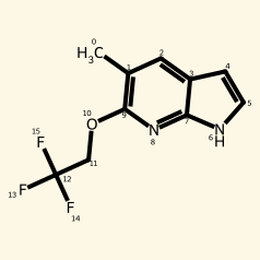 Cc1cc2cc[nH]c2nc1OCC(F)(F)F